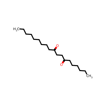 CCCCCCCCCC(=O)CCC(=O)CCCCCC